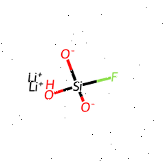 [Li+].[Li+].[O-][Si]([O-])(O)F